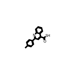 Cc1ccc(-c2cc(C(=O)S)c3ccccc3n2)cc1